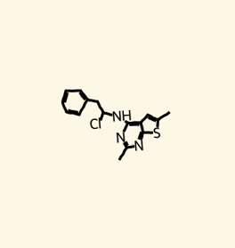 Cc1nc(NC(Cl)Cc2ccccc2)c2cc(C)sc2n1